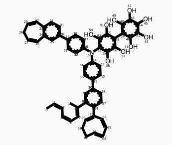 C\C=C/C=C\C=C(/C)c1cc(-c2ccc(N(c3ccc(-c4ccc5c(c4)C=CCC=C5)cc3)c3c(O)c(O)c(-c4c(O)c(O)c(O)c(O)c4O)c(O)c3O)cc2)ccc1C1=C/CC/C=C/C=C\1